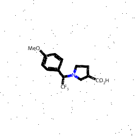 COc1ccc(C(N2CCC(C(=O)O)C2)C(F)(F)F)cc1